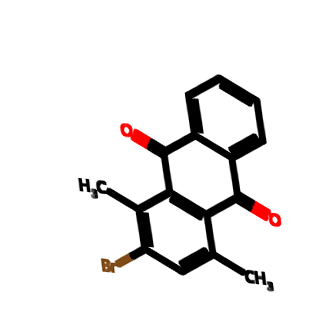 Cc1cc(Br)c(C)c2c1C(=O)c1ccccc1C2=O